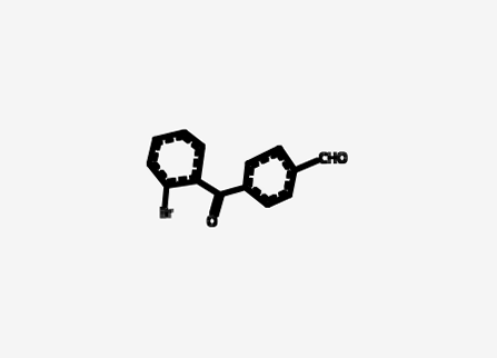 O=Cc1ccc(C(=O)c2ccccc2Br)cc1